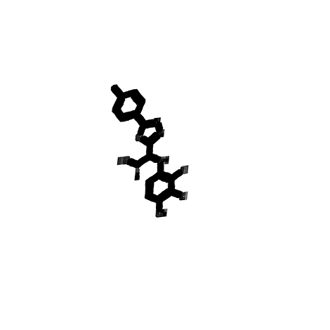 Cc1ccc(-c2nnc(C(Nc3ccc(C#N)c(Cl)c3Cl)[C@H](C)O)o2)cc1